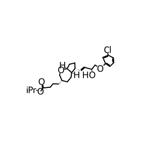 CC(C)OC(=O)CCC[C@H]1CC[C@H]2[C@H](CC[C@@H]2/C=C/[C@@H](O)COc2cccc(Cl)c2)OC1